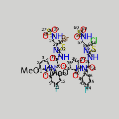 COc1ccccc1Oc1cc(F)ccc1NC(=O)C(=O)Nc1nc(CNS(C)(=O)=O)c(Br)s1.COc1ccccc1Oc1cc(F)ccc1NC(=O)C(=O)Nc1nc(CNS(C)(=O)=O)c(Cl)s1